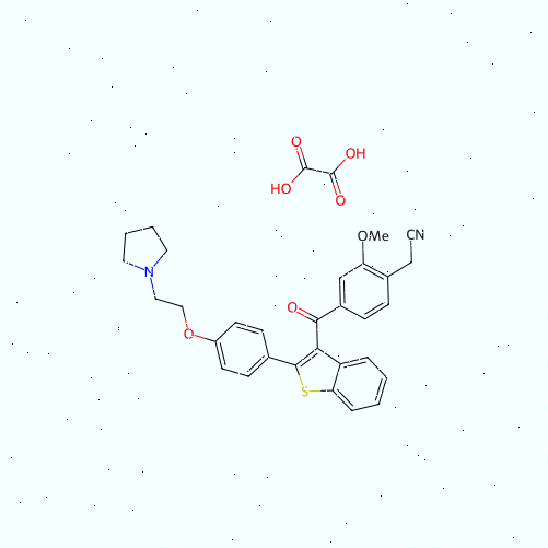 COc1cc(C(=O)c2c(-c3ccc(OCCN4CCCC4)cc3)sc3ccccc23)ccc1CC#N.O=C(O)C(=O)O